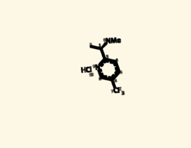 CN[C@H](C)c1ccc(C(F)(F)F)cn1.Cl